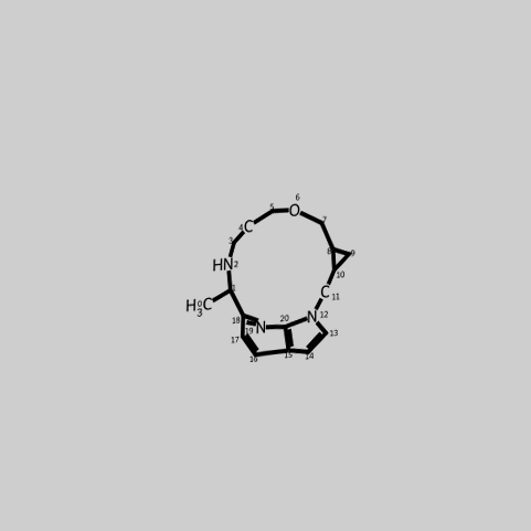 CC1NCCCOCC2CC2Cn2ccc3ccc1nc32